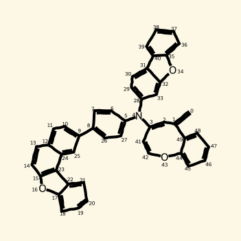 C=C1/C=C(N(c2ccc(-c3ccc4ccc5oc6ccccc6c5c4c3)cc2)c2ccc3c(c2)oc2ccccc23)\C=C/Oc2ccccc21